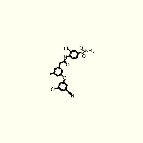 Cc1cc(CC(=O)Nc2ccc(S(N)(=O)=O)cc2Cl)cc(Oc2cc(Cl)cc(C#N)c2)c1